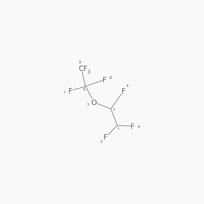 FC(F)C(F)OC(F)(F)C(F)(F)F